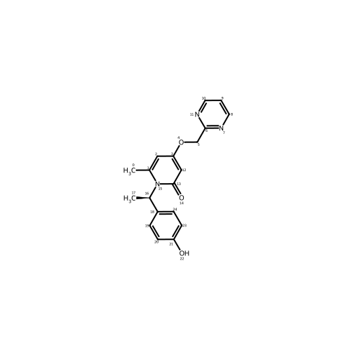 Cc1cc(OCc2ncccn2)cc(=O)n1[C@H](C)c1ccc(O)cc1